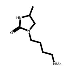 CNCCCCN1CC(C)NC1=O